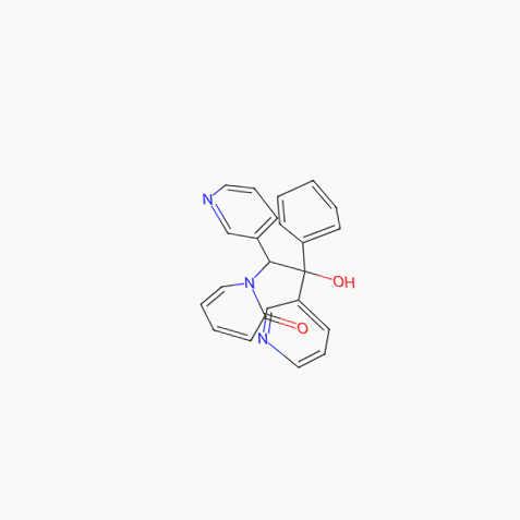 O=c1ccccn1C(c1cccnc1)C(O)(c1ccccc1)c1cccnc1